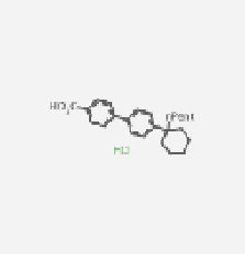 CCCCCC1(c2ccc(-c3ccc(C(=O)O)cc3)cc2)CCCCC1.Cl